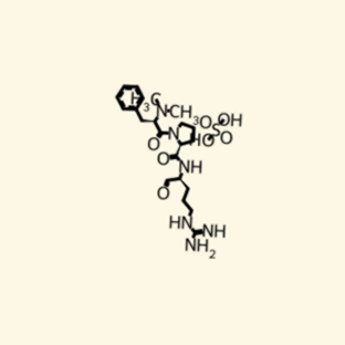 CN(C)[C@H](Cc1ccccc1)C(=O)N1CCC[C@H]1C(=O)N[C@H](C=O)CCCNC(=N)N.O=S(=O)(O)O